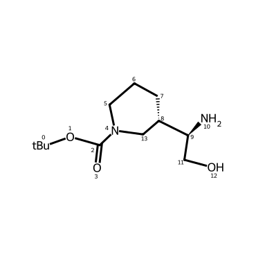 CC(C)(C)OC(=O)N1CCC[C@H]([C@@H](N)CO)C1